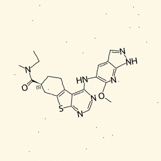 CCN(C)C(=O)[C@H]1CCc2c(sc3ncnc(Nc4cc5cn[nH]c5nc4OC)c23)C1